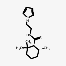 C[C@@H]1CCCC(C)(C)[C@H]1C(=O)NCC[SH]1C=CC=C1